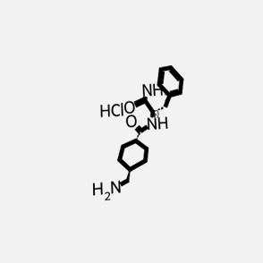 Cl.NC[C@H]1CC[C@H](C(=O)N[C@@H](Cc2ccccc2)C(N)=O)CC1